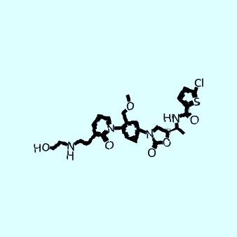 COCc1cc(N2C[C@@H](C(C)NC(=O)c3ccc(Cl)s3)OC2=O)ccc1-n1cccc(CCNCCO)c1=O